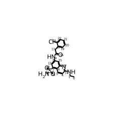 CCNc1ccc2c(S(N)(=O)=O)cc(NC(=O)Cc3ccccc3Cl)cc2n1